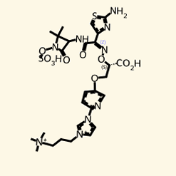 CC1(C)C(NC(=O)/C(=N\O[C@@H](COc2ccc(-n3cc[n+](CCC[N+](C)(C)C)c3)nc2)C(=O)O)c2csc(N)n2)C(=O)N1OS(=O)(=O)O